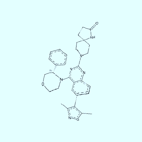 Cc1noc(C)c1-c1ccc2nc(N3CCC4(CCC(=O)N4)CC3)nc(N3CCOC[C@@H]3c3ccccc3)c2c1